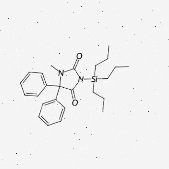 CCC[Si](CCC)(CCC)N1C(=O)N(C)C(c2ccccc2)(c2ccccc2)C1=O